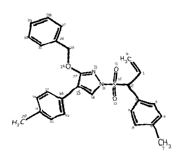 C=CC(c1ccc(C)cc1)S(=O)(=O)n1cc(-c2ccc(C)cc2)c(OCc2ccccc2)n1